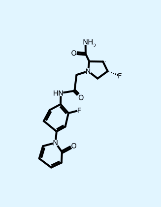 NC(=O)C1[CH][C@H](F)CN1CC(=O)Nc1ccc(-n2ccccc2=O)cc1F